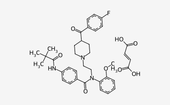 COc1ccccc1N(CCN1CCC(C(=O)c2ccc(F)cc2)CC1)C(=O)c1ccc(NC(=O)C(C)(C)C)cc1.O=C(O)C=CC(=O)O